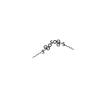 CCCCCCCCSCCC(=O)Oc1ccc(Sc2ccc(OC(=O)CCSCCCCCCCC)cc2)cc1